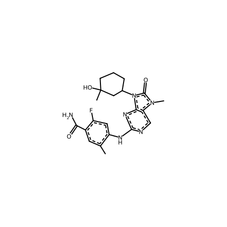 Cc1cc(C(N)=O)c(F)cc1Nc1ncc2c(n1)n(C1CCCC(C)(O)C1)c(=O)n2C